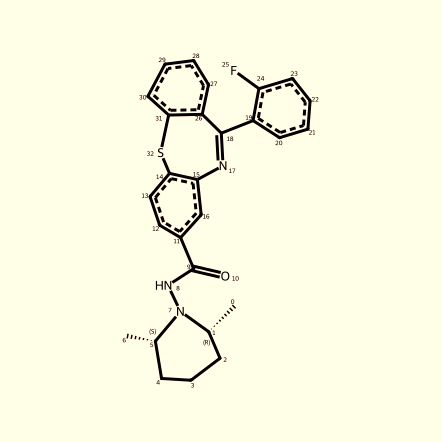 C[C@@H]1CCC[C@H](C)N1NC(=O)c1ccc2c(c1)N=C(c1ccccc1F)c1ccccc1S2